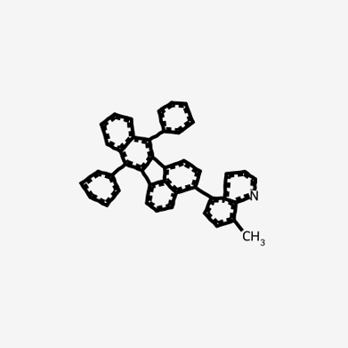 Cc1ccc(-c2ccc3c4c(cccc24)-c2c-3c(-c3ccccc3)c3ccccc3c2-c2ccccc2)c2cccnc12